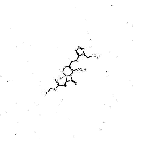 O=C(NC1C(=O)N2C(C(=O)O)=C(CSc3nnnn3CS(=O)(=O)O)CS[C@H]12)OCC(Cl)(Cl)Cl